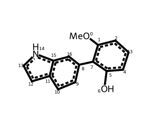 COc1c[c]cc(O)c1-c1ccc2cc[nH]c2c1